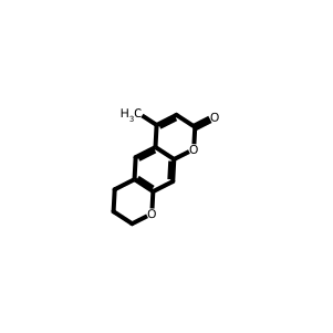 Cc1cc(=O)oc2cc3c(cc12)CCCO3